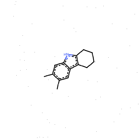 Cc1cc2[nH]c3c(c2cc1C)C[C]CC3